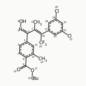 CC(C(=NO)c1ccc(C(=O)OC(C)(C)C)c(C)c1)=C(c1cc(Cl)cc(Cl)c1)C(F)(F)F